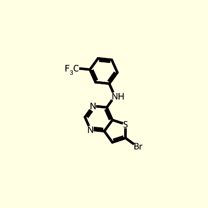 FC(F)(F)c1cccc(Nc2ncnc3cc(Br)sc23)c1